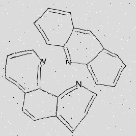 c1ccc2nc3ccccc3cc2c1.c1cnc2c(c1)ccc1cccnc12